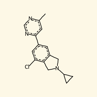 Cc1cc(-c2cc(Cl)c3c(c2)CN(C2CC2)C3)ncn1